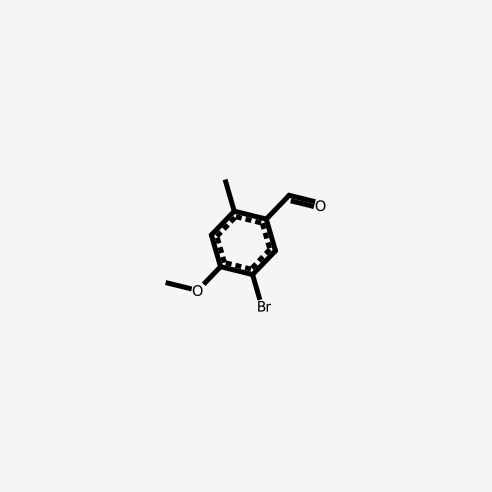 COc1cc(C)c(C=O)cc1Br